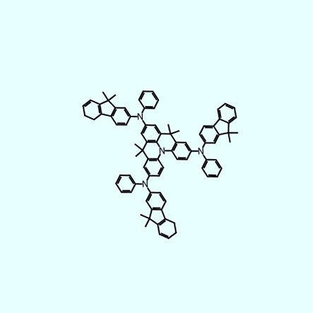 CC1(C)C2=C(CCC=C2)c2ccc(N(c3ccccc3)c3ccc4c(c3)C(C)(C)c3cc(N(c5ccccc5)c5ccc6c(c5)C(C)(C)C5=C6CCC=C5)cc5c3N4c3ccc(N(c4ccccc4)c4ccc6c(c4)C(C)(C)c4ccccc4-6)cc3C5(C)C)cc21